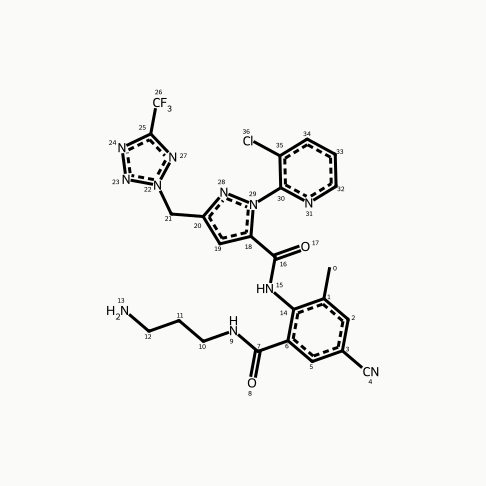 Cc1cc(C#N)cc(C(=O)NCCCN)c1NC(=O)c1cc(Cn2nnc(C(F)(F)F)n2)nn1-c1ncccc1Cl